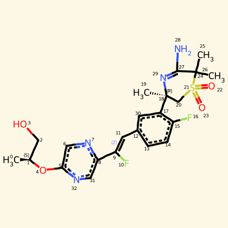 C[C@@H](CO)Oc1cnc(/C(F)=C/c2ccc(F)c([C@]3(C)CS(=O)(=O)C(C)(C)C(N)=N3)c2)cn1